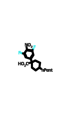 CCCCCC1CCC(C(=O)O)(c2cc(F)c([N+](=O)[O-])c(F)c2)CC1